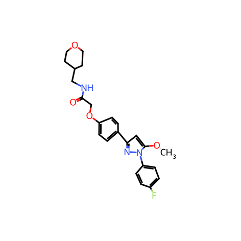 COc1cc(-c2ccc(OCC(=O)NCC3CCOCC3)cc2)nn1-c1ccc(F)cc1